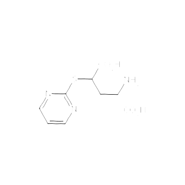 N[C@@H](CC(Sc1ncccn1)C(=O)O)C(=O)O